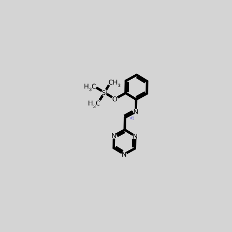 C[Si](C)(C)Oc1ccccc1/N=C/c1ncncn1